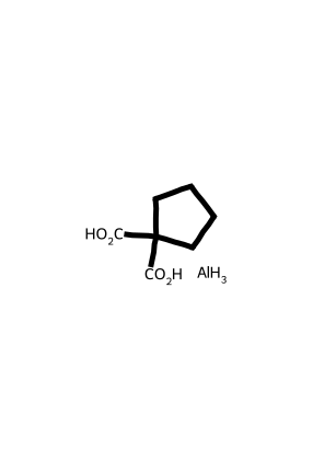 O=C(O)C1(C(=O)O)CCCC1.[AlH3]